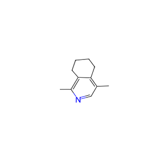 Cc1cnc(C)c2c1CCCC2